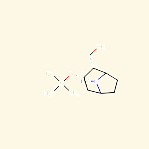 CN1C2CCC1[C@@H](CO)[C@@H](O[Si](C)(C)C(C)(C)C)C2